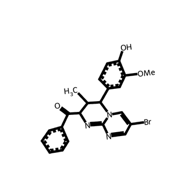 COc1cc(C2C(C)C(C(=O)c3ccccc3)N=C3N=CC(Br)=CN32)ccc1O